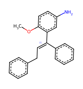 COc1ccc(N)cc1/C(=C/Cc1ccccc1)c1ccccc1